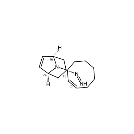 N=N[C@@H]1C[C@H]2C=C[C@@H](C1)N2C1/C=C\CCCCC1